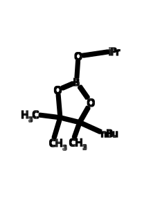 CCCCC1(C)OB(OC(C)C)OC1(C)C